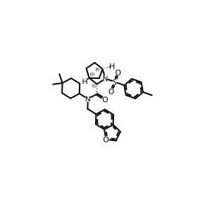 Cc1ccc(S(=O)(=O)N2[C@@H]3CC[C@@H](C3)[C@H]2C(=O)N(Cc2ccc3ccoc3c2)C2CCC(C)(C)CC2)cc1